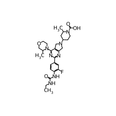 CCNC(=O)Nc1ccc(-c2nc3c(c(N4CCOCC4C)n2)CN(C2CCN(C(=O)O)C(C)C2)C3)cc1F